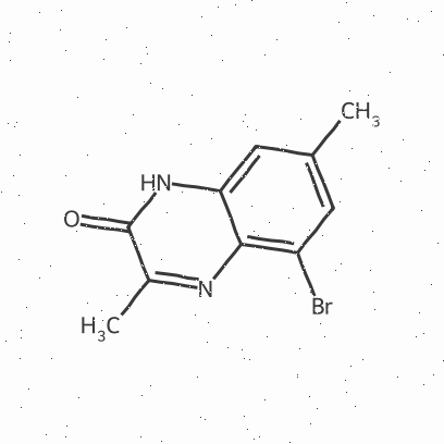 Cc1cc(Br)c2nc(C)c(=O)[nH]c2c1